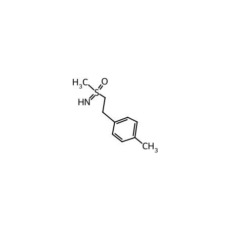 Cc1ccc(CCS(C)(=N)=O)cc1